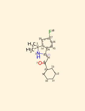 CC1(C)N/C(=C\C(=O)C2CCCCC2)c2ccc(F)cc21